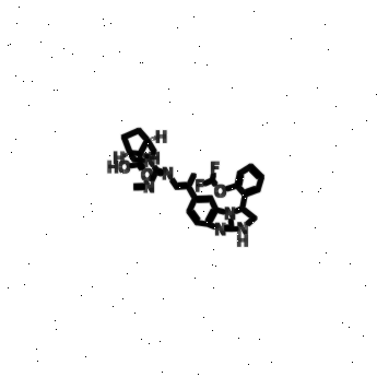 C=N/C(=N\C=C(/C)c1ccc2nc3n(c2c1)C(c1ccccc1OC(F)F)CN3)N1C[C@H]2CC[C@@H](C1)[C@@H]2C(=O)O